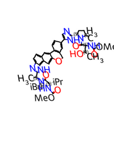 CC[C@H](C)N(C(=O)[C@@H](NC(=O)OC)C(C)C)[C@@H](C)c1nc2ccc3cc4c(cc3c2[nH]1)OCc1cc(-c2cnc([C@@H]3CC[C@H](C)N3C(=O)[C@@H](NC(=O)OC)[C@@H](C)O)[nH]2)ccc1-4